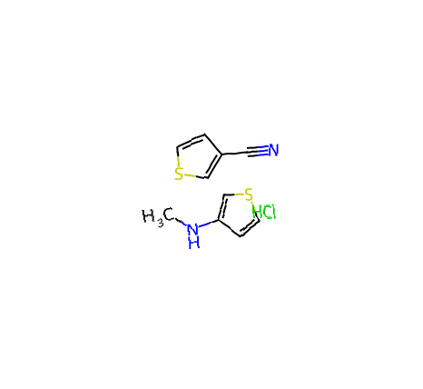 CNc1ccsc1.Cl.N#Cc1ccsc1